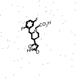 O=C(O)CN1CCC(c2cc(=O)[nH]o2)CC1Cc1cc(F)ccc1F